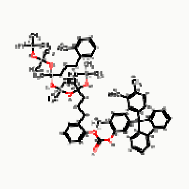 CCC[Si](C)(C)O[Si](C)(C)O[Si](C)(CCCc1ccccc1OC(C)=O)O[Si](C)(C)O[Si](C)(CCCc1ccccc1OC(=O)Oc1cc(C2(c3ccc(C)c(OC)c3)c3ccccc3-c3ccccc32)ccc1C)O[Si](C)(C)C